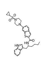 CCCCC(Cc1c[nH]c2ccccc12)NC(=O)c1cc2ccc(N3CCN(S(=O)(=O)C4CC4)CC3)cc2s1